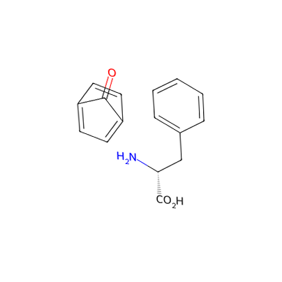 N[C@H](Cc1ccccc1)C(=O)O.O=C1C2=CC=C1C=C2